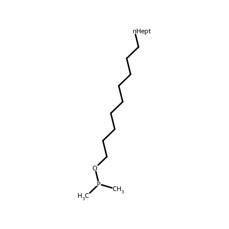 CCCCCCCCCCCCCCCCOP(C)C